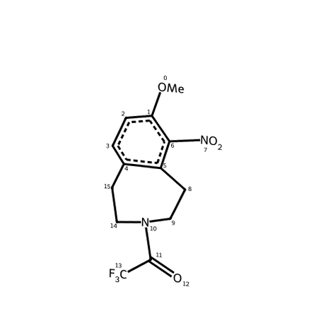 COc1ccc2c(c1[N+](=O)[O-])CCN(C(=O)C(F)(F)F)CC2